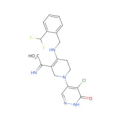 N=C(C(=O)O)C1=C(NCc2ccccc2C(F)F)CCN(c2cn[nH]c(=O)c2Cl)C1